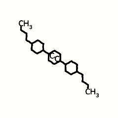 CCCCC1CCC(C23CCC(C4CCC(CCCC)CC4)(CC2)CC3)CC1